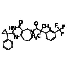 CC(C)(C(=O)N1CCCc2nc(C3(c4ccccc4)CC3)[nH]c(=O)c2C1)c1cccc(C(F)(F)F)c1